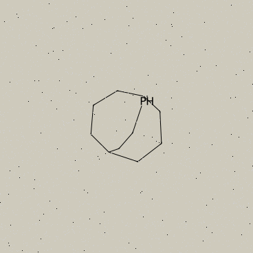 C1C[C]2CCCC(C1)CCP2